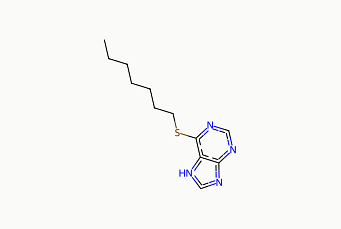 CCCCCCCSc1ncnc2nc[nH]c12